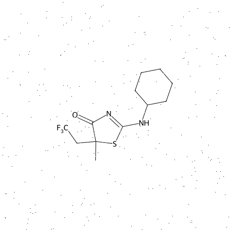 CC1(CC(F)(F)F)SC(NC2CCCCC2)=NC1=O